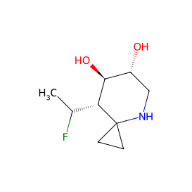 CC(F)[C@@H]1[C@@H](O)[C@H](O)CNC12CC2